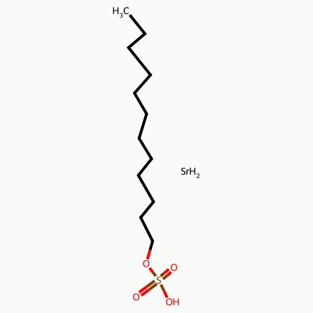 CCCCCCCCCCCCOS(=O)(=O)O.[SrH2]